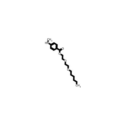 CCCCCCOCCOCCOC(=O)c1ccc(NC)cc1